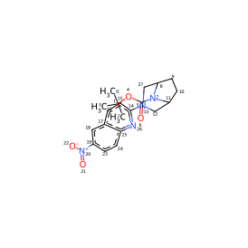 CC(C)(C)OC(=O)N1C2CCC1CN(c1ccc3cc([N+](=O)[O-])ccc3n1)C2